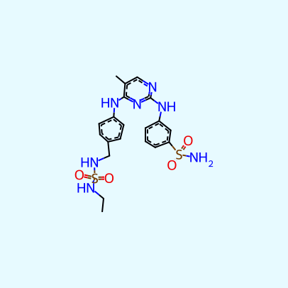 CCNS(=O)(=O)NCc1ccc(Nc2nc(Nc3cccc(S(N)(=O)=O)c3)ncc2C)cc1